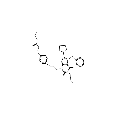 CCCn1c(=O)c2c(nc(C3CCCC3)n2Cc2ccccc2)n(CCCc2ccc(OCC(=O)OCC)cc2)c1=O